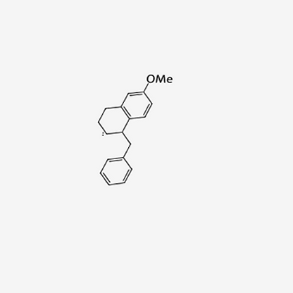 COc1ccc2c(c1)CC[C]C2Cc1ccccc1